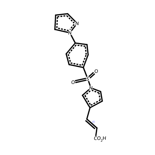 O=C(O)/C=C/c1ccn(S(=O)(=O)c2ccc(-n3cccn3)cc2)c1